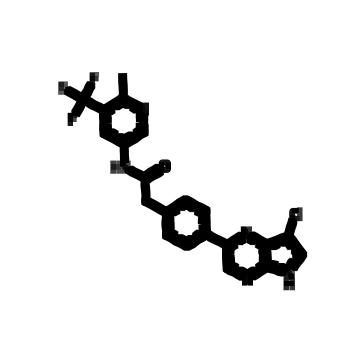 Cc1ncc(NC(=O)Cc2ccc(-c3cnc4[nH]cc(Cl)c4n3)cc2)cc1C(F)(F)F